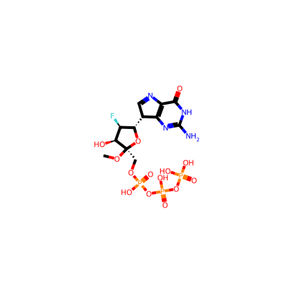 CO[C@]1(COP(=O)(O)OP(=O)(O)OP(=O)(O)O)O[C@@H](C2C=Nc3c2nc(N)[nH]c3=O)[C@H](F)[C@@H]1O